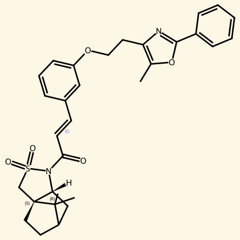 Cc1oc(-c2ccccc2)nc1CCOc1cccc(/C=C/C(=O)N2[C@@H]3CC4CC[C@]3(CS2(=O)=O)C4(C)C)c1